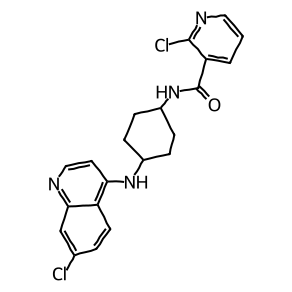 O=C(NC1CCC(Nc2ccnc3cc(Cl)ccc23)CC1)c1cccnc1Cl